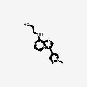 Cn1cc(-c2cnc3c(NCCO)nccn23)cn1